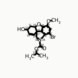 COc1cc(Br)c2c3c1OC1CC(O)C=CC31CCN(C(=O)OC(C)C)C2